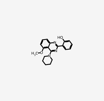 COc1cccc2nc(-c3ccccc3O)nc(N3CCCCC3)c12